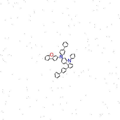 c1ccc(-c2ccc(-c3cccc4c3c3ccc(N(c5ccc(-c6ccccc6)cc5)c5ccc6c(c5)oc5ccccc56)cc3n4-c3ccccc3)cc2)cc1